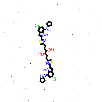 OC(CCC1CSC(c2cc3cc(Cl)cc(NC4CCCC4)c3[nH]2)=N1)C(O)CCC1CSC(c2cc3cc(Cl)cc(NC4CCCC4)c3[nH]2)=N1